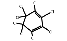 ClC1=C(Cl)C(Cl)(Cl)C(Cl)(Cl)C(Cl)=C1Cl